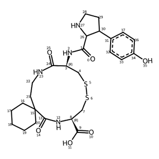 O=C(N[C@H]1CSSC[C@@H](C(=O)O)NC(=O)C2(CCCCC2)CCNC1=O)C1NCCC1c1ccc(O)cc1